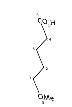 COCCC[CH]C(=O)O